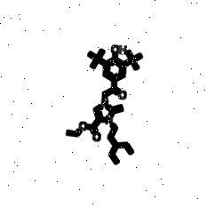 C=C1N(CC(=O)c2cc(C(C)(C)C)c(O)c(C(C)(C)C)c2)C=C(C(=O)OCC)N1CCC(CC)CC